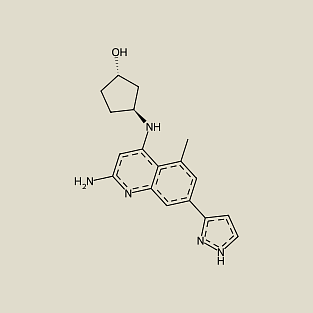 Cc1cc(-c2cc[nH]n2)cc2nc(N)cc(N[C@H]3CC[C@H](O)C3)c12